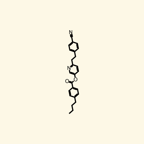 CCCCc1ccc(C(=O)Oc2ccc(CCc3ccc(C#N)cc3)nc2)cc1